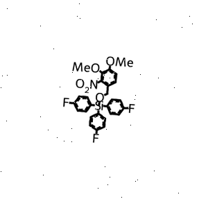 COc1ccc(CO[Si](c2ccc(F)cc2)(c2ccc(F)cc2)c2ccc(F)cc2)c([N+](=O)[O-])c1OC